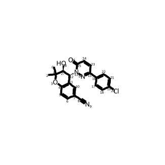 CC1(C)Oc2ccc(C#N)cc2[C@@H](n2nc(-c3ccc(Cl)cc3)ccc2=O)[C@@H]1O